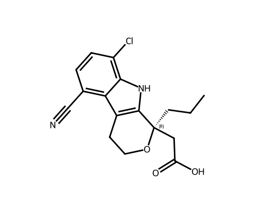 CCC[C@]1(CC(=O)O)OCCc2c1[nH]c1c(Cl)ccc(C#N)c21